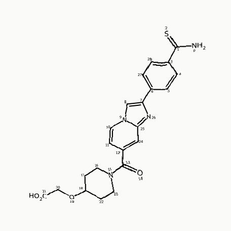 NC(=S)c1ccc(-c2cn3ccc(C(=O)N4CCC(OCC(=O)O)CC4)cc3n2)cc1